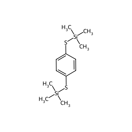 C[Si](C)(C)Sc1ccc(S[Si](C)(C)C)cc1